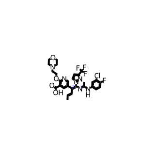 CC=C/C(=C(\N=C(/C)Nc1ccc(F)c(Cl)c1)n1ccc(C(F)(F)F)n1)c1cnc(OCCN2CCOCC2)c(C(=O)O)c1